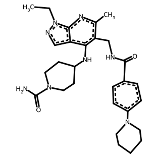 CCn1ncc2c(NC3CCN(C(N)=O)CC3)c(CNC(=O)c3ccc(N4CCCCC4)cc3)c(C)nc21